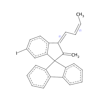 C=C1/C(=C\C=C/C)c2ccc(I)cc2C12c1ccccc1-c1ccccc12